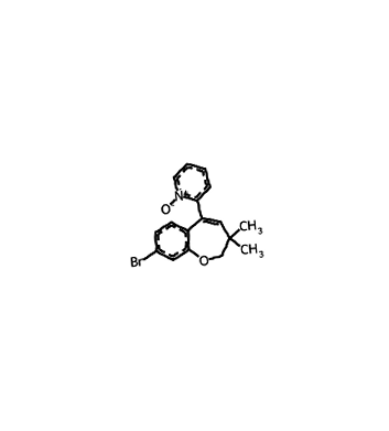 CC1(C)C=C(c2cccc[n+]2[O-])c2ccc(Br)cc2OC1